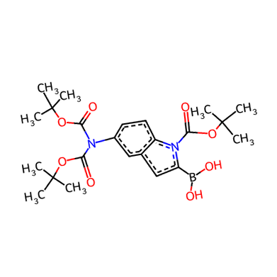 CC(C)(C)OC(=O)N(C(=O)OC(C)(C)C)c1ccc2c(c1)cc(B(O)O)n2C(=O)OC(C)(C)C